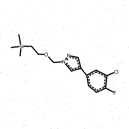 C[Si](C)(C)CCOCn1cc(-c2ccc(F)c(Cl)c2)cn1